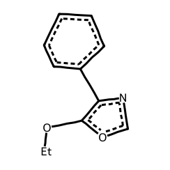 CCOc1ocnc1-c1ccccc1